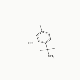 Cc1ccc(C(C)(C)N)cc1.Cl